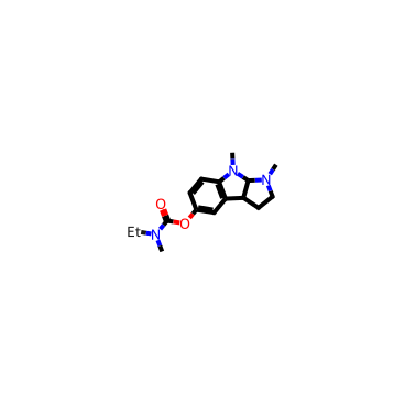 CCN(C)C(=O)Oc1ccc2c(c1)C1CCN(C)C1N2C